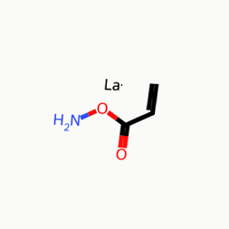 C=CC(=O)ON.[La]